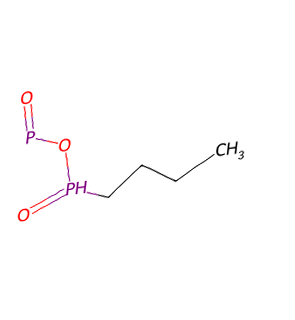 CCCC[PH](=O)OP=O